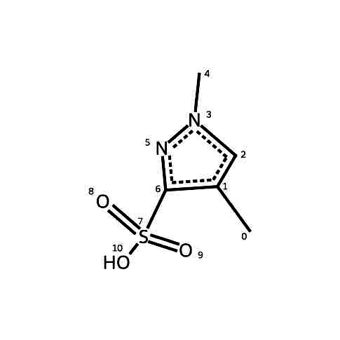 Cc1cn(C)nc1S(=O)(=O)O